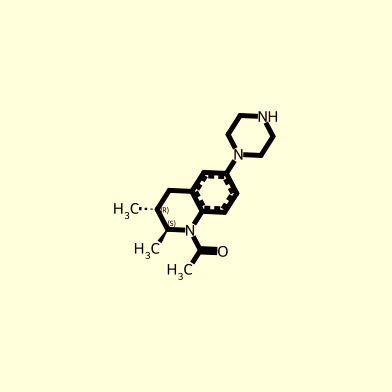 CC(=O)N1c2ccc(N3CCNCC3)cc2C[C@@H](C)[C@@H]1C